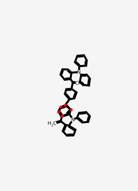 C=C(c1ccc(-c2ccc(C(=C)c3ccccc3N(c3ccccc3)c3ccccc3)cc2)cc1)c1ccccc1N(c1ccccc1)c1ccccc1